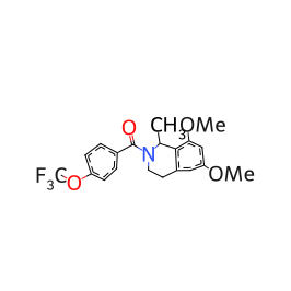 COc1cc2c(c(OC)c1)C(C)N(C(=O)c1ccc(OC(F)(F)F)cc1)CC2